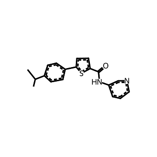 CC(C)c1ccc(-c2ccc(C(=O)Nc3cccnc3)s2)cc1